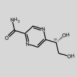 NC(=O)c1cnc([C@H](O)CO)cn1